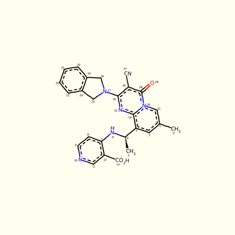 Cc1cc([C@@H](C)Nc2ccncc2C(=O)O)c2nc(N3Cc4ccccc4C3)c(C#N)c(=O)n2c1